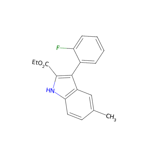 CCOC(=O)c1[nH]c2ccc(C)cc2c1-c1ccccc1F